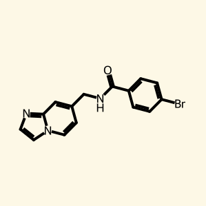 O=C(NCc1ccn2ccnc2c1)c1ccc(Br)cc1